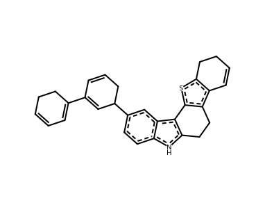 C1=CCCC(C2=CC(c3ccc4[nH]c5c(c4c3)-c3sc4c(c3CC5)C=CCC4)CC=C2)=C1